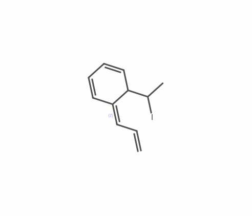 C=C/C=C1/C=CC=CC1C(C)I